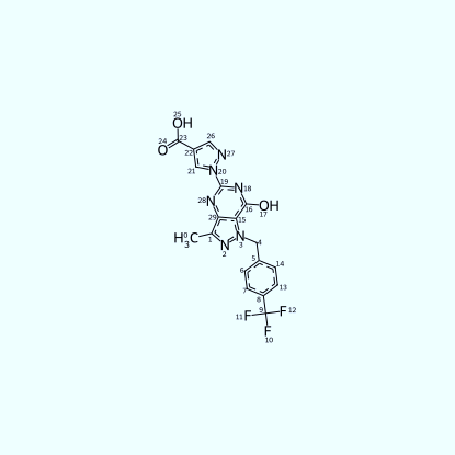 Cc1nn(Cc2ccc(C(F)(F)F)cc2)c2c(O)nc(-n3cc(C(=O)O)cn3)nc12